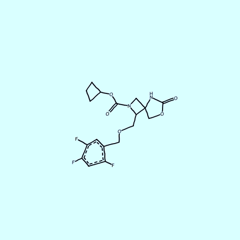 O=C1NC2(CO1)CN(C(=O)OC1CCC1)C2COCc1cc(F)c(F)cc1F